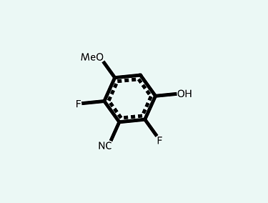 COc1cc(O)c(F)c(C#N)c1F